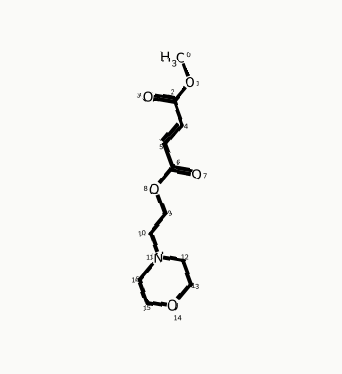 COC(=O)C=CC(=O)OCCN1CCOCC1